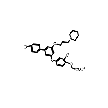 O=C(O)COc1ccc(Sc2cc(OCCCN3CCCCC3)cc(-c3ccc(Cl)cc3)c2)cc1Cl